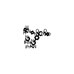 CC(C)n1cnc2cc(-c3ccc4c(c3)N([C@H]3C[C@@H](N5C[C@H]6CC[C@H]6C5)C3)C(=O)C43CCN(C(=O)C4(C)COC4)CC3)nc(Nc3ccncc3F)c21